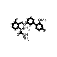 COc1cc(F)ccc1-c1cccc(OCc2c(C)cccc2N(N)C(=O)NN)c1